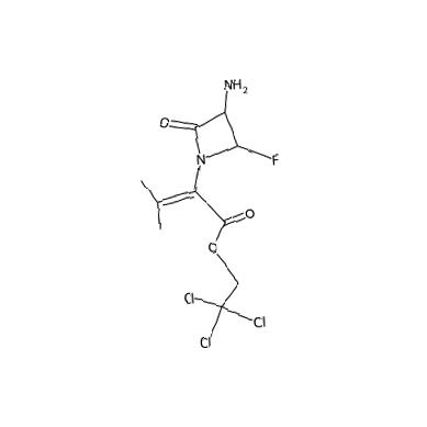 CC(C)=C(C(=O)OCC(Cl)(Cl)Cl)N1C(=O)C(N)C1F